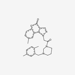 Cc1ccc(C)c(CN2CCCN(C(=O)Cn3ncc4c(=O)oc5ccc(C)cc5c43)C2)c1